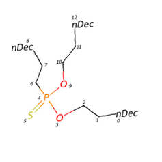 CCCCCCCCCCCCOP(=S)(CCCCCCCCCCCC)OCCCCCCCCCCCC